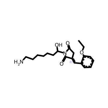 CCOc1ccccc1/C=C1\CC(=O)N(C(O)CCCCCCN)C1=O